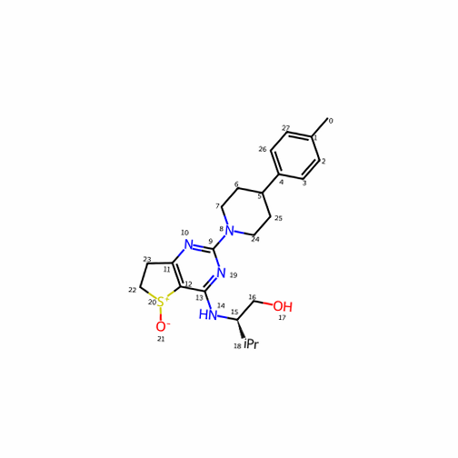 Cc1ccc(C2CCN(c3nc4c(c(N[C@@H](CO)C(C)C)n3)[S+]([O-])CC4)CC2)cc1